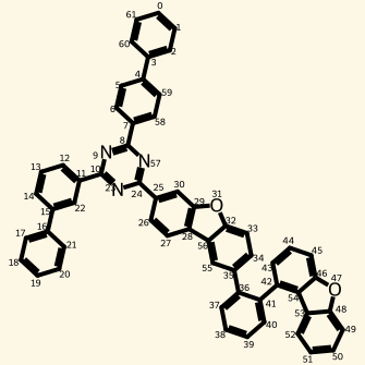 c1ccc(-c2ccc(-c3nc(-c4cccc(-c5ccccc5)c4)nc(-c4ccc5c(c4)oc4ccc(-c6ccccc6-c6cccc7oc8ccccc8c67)cc45)n3)cc2)cc1